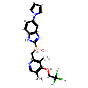 Cc1cnc(C[S@@+]([O-])c2nc3cc(-n4cccc4)ccc3[nH]2)c(C)c1OCC(F)(F)F